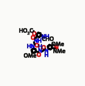 CNC(=O)c1cc(NC(=O)CNC(=O)c2cc(NC(=O)CNC(=O)c3cc(NC=O)ccc3OCC(=O)O)ccc2OC)ccc1OC